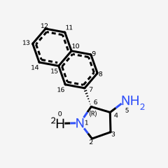 [2H]N1CCC(N)[C@H]1c1ccc2ccccc2c1